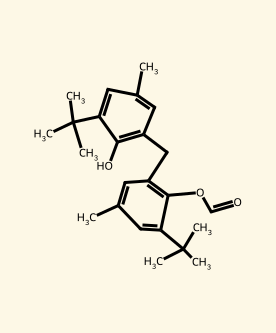 Cc1cc(Cc2cc(C)cc(C(C)(C)C)c2OC=O)c(O)c(C(C)(C)C)c1